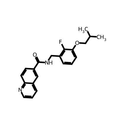 CC(C)COc1cccc(CNC(=O)c2ccc3ncccc3c2)c1F